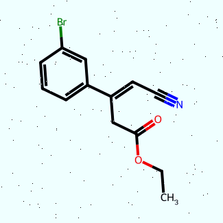 CCOC(=O)CC(=CC#N)c1cccc(Br)c1